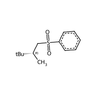 C[C@@H](CS(=O)(=O)c1ccccc1)C(C)(C)C